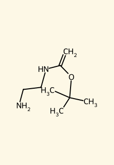 C=C(NCCN)OC(C)(C)C